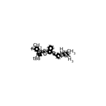 Cc1ccc(-n2nc(C(C)(C)C)cc2NC(=O)Nc2ccc(OCc3ccnc(Nc4cnc(C)c(C)n4)c3)c3ccccc23)cc1F